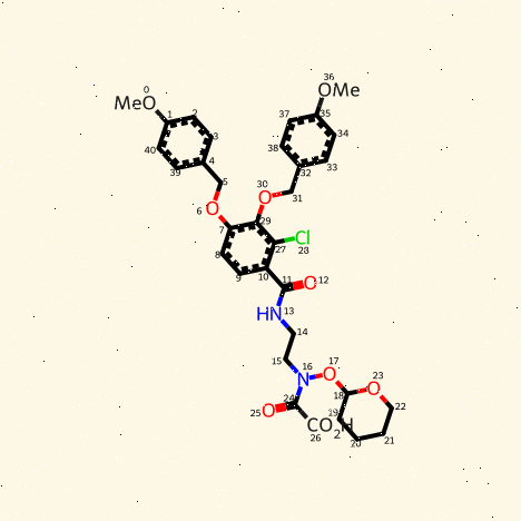 COc1ccc(COc2ccc(C(=O)NCCN(OC3CCCCO3)C(=O)C(=O)O)c(Cl)c2OCc2ccc(OC)cc2)cc1